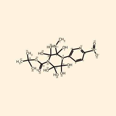 CNC1(O)N(c2ccc([N+](=O)[O-])nc2)C(O)(O)C(O)(O)N(C(=O)OC(C)(C)C)C1(O)O